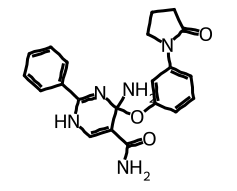 NC(=O)C1=CNC(c2ccccc2)=NC1(N)Oc1cccc(N2CCCC2=O)c1